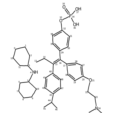 C1CCC(NC2CCCCC2)CC1.CC/C(=C(/c1ccc(OCCN(C)C)cc1)c1ccc(OP(=O)(O)O)cc1)c1ccc(C(C)C)cc1